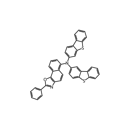 c1ccc(-c2nc3ccc4c(N(c5ccc6c(c5)sc5ccccc56)c5ccc6sc7ccccc7c6c5)cccc4c3o2)cc1